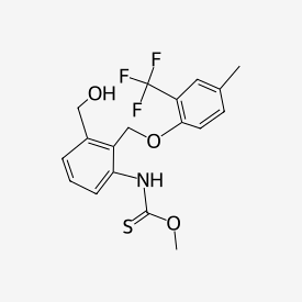 COC(=S)Nc1cccc(CO)c1COc1ccc(C)cc1C(F)(F)F